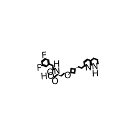 O=C(Cc1cc(F)cc(F)c1)N[C@@H](CCO[C@H]1C[C@@H](CCc2ccc3c(n2)NCCC3)C1)C(=O)O